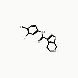 O=C(Nc1ccc(Cl)c(C(F)(F)F)c1)c1csc2c1CCNC2